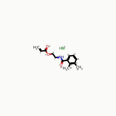 Br.C=CC(=O)OCCNC(=O)c1cccc(C)c1C